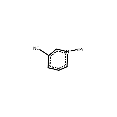 CCC[n+]1cccc(C#N)c1